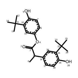 CC(C(=O)Oc1ccc(O)c(C(C)(C)C)c1)c1ccc(O)c(C(C)(C)C)c1